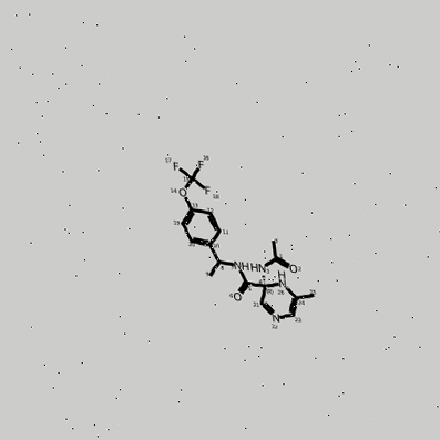 CC(=O)N[C@@]1(C(=O)NC(C)c2ccc(OC(F)(F)F)cc2)C=NC=C(C)N1